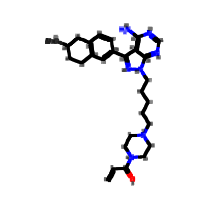 C=CC(=O)N1CCN(CCCCCn2nc(-c3ccc4c(c3)CCC(OC)C4)c3c(N)ncnc32)CC1